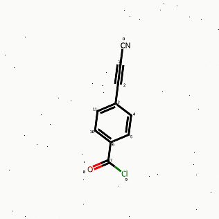 N#CC#Cc1ccc(C(=O)Cl)cc1